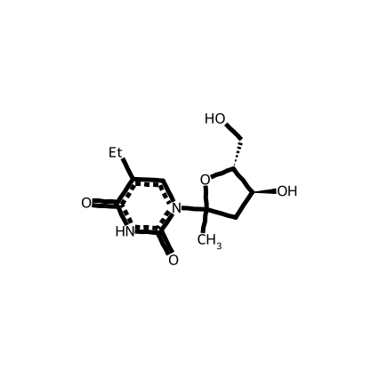 CCc1cn(C2(C)C[C@H](O)[C@@H](CO)O2)c(=O)[nH]c1=O